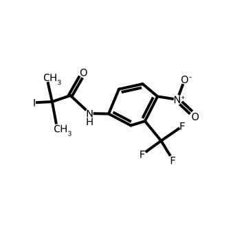 CC(C)(I)C(=O)Nc1ccc([N+](=O)[O-])c(C(F)(F)F)c1